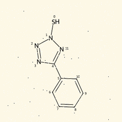 Sn1nnc(-c2c[c]ccc2)n1